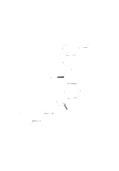 CCCCC(CC)COC(=O)C1CCCC(C(=O)OCCCC(C)C)C1